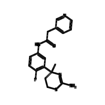 CC1(c2cc(NC(=O)Cc3cccnc3)ccc2F)CCSC(N)=N1